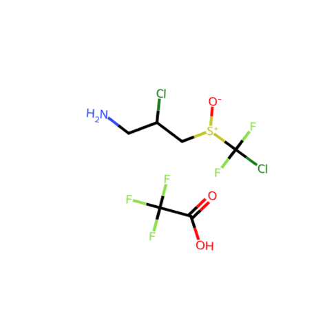 NCC(Cl)C[S+]([O-])C(F)(F)Cl.O=C(O)C(F)(F)F